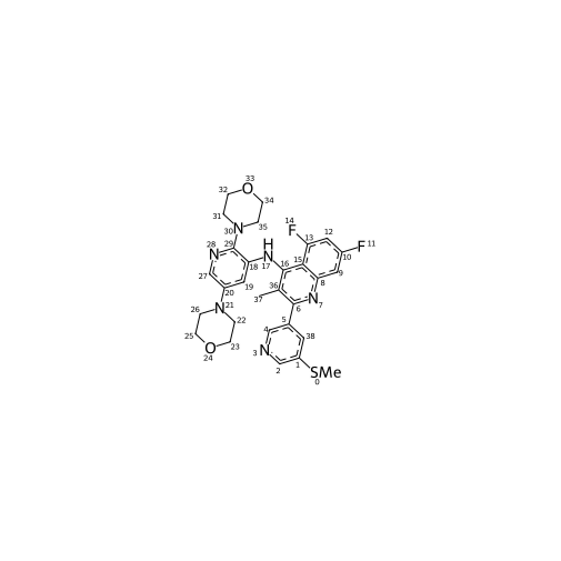 CSc1cncc(-c2nc3cc(F)cc(F)c3c(Nc3cc(N4CCOCC4)cnc3N3CCOCC3)c2C)c1